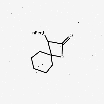 CCCCCC1C(=O)OC12CCCCC2